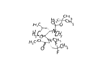 COC(=O)[C@@H](CC(C)(F)F)N(C)C(=O)[C@H](CC(C)C)N(C)C(=O)OC(C)(C)C